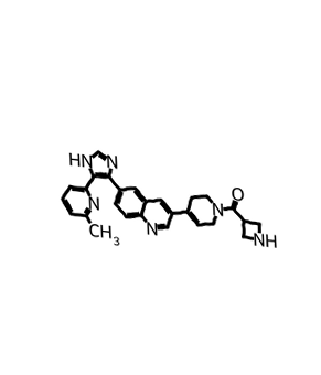 Cc1cccc(-c2[nH]cnc2-c2ccc3ncc(C4=CCN(C(=O)C5CNC5)CC4)cc3c2)n1